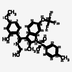 COc1ccc(/C(=N/CO)c2c(C)n(S(=O)(=O)c3ccc(C)cc3)c3cc(OC(F)(F)F)ccc23)c(O)c1